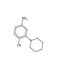 N#Cc1ccc([N+](=O)[O-])cc1N1CCCCC1